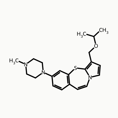 CC(C)OCc1ccn2c1Sc1cc(N3CCN(C)CC3)ccc1C=C2